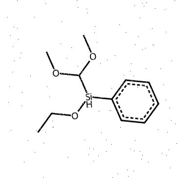 CCO[SiH](c1ccccc1)C(OC)OC